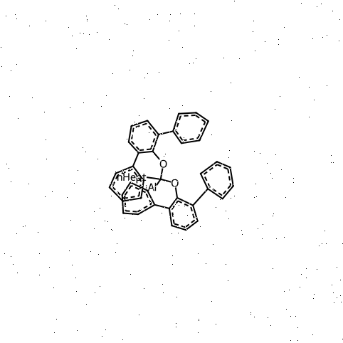 CCCCCCC[C]([Al])(Oc1c(-c2ccccc2)cccc1-c1ccccc1)Oc1c(-c2ccccc2)cccc1-c1ccccc1